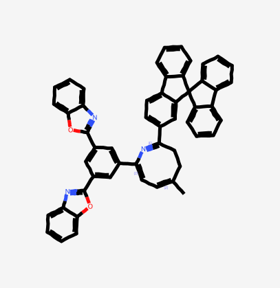 C/C1=C/C=C(c2cc(-c3nc4ccccc4o3)cc(-c3nc4ccccc4o3)c2)\N=C(\c2ccc3c(c2)C2(c4ccccc4-c4ccccc42)c2ccccc2-3)CC1